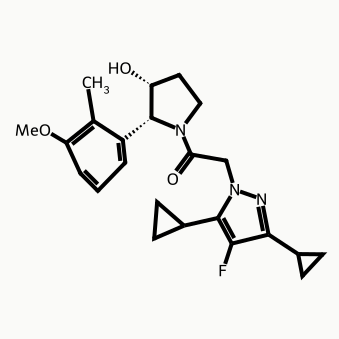 COc1cccc([C@@H]2[C@H](O)CCN2C(=O)Cn2nc(C3CC3)c(F)c2C2CC2)c1C